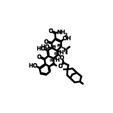 CC1CC2CC(C1)CC(C)(CC(=O)O[C@H]1[C@@H]3C(=C(O)[C@@]4(O)C(=O)C(C(N)=O)=C(O)[C@H](N(C)C)[C@@H]14)C(=O)c1c(O)cccc1[C@@H]3C)C2